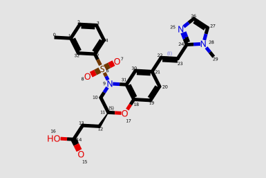 Cc1cccc(S(=O)(=O)N2C[C@H](CCC(=O)O)Oc3ccc(/C=C/c4nccn4C)cc32)c1